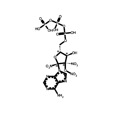 Nc1ncnc2c1ncn2[C@]1([N+](=O)[O-])O[C@H](COP(=O)(O)OP(=O)(O)OP(=O)(O)O)[C@@H](O)[C@]1(O[N+](=O)[O-])[N+](=O)[O-]